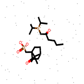 CC1(C)C2CCC1(CS(=O)(=O)[O-])C(=O)C2.CCCCC(=O)C[S+](C(C)C)C(C)C